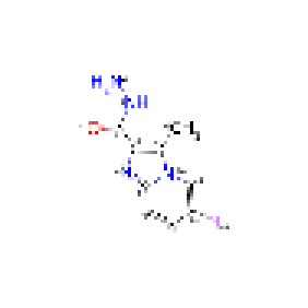 Cc1c(C(=O)NN)nc2ccc(I)cn12